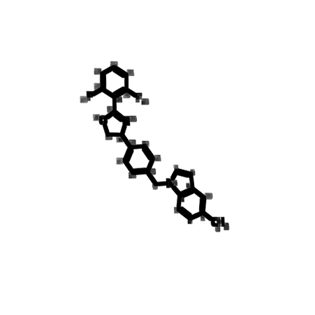 Cc1ccc2c(ccn2Cc2ccc(C3COC(c4c(F)cccc4F)=N3)cc2)c1